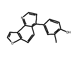 Cc1cc(-c2ccnc3c2ccc2occc23)ccc1O